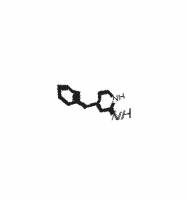 N=C1CC(Cc2ccccc2)CCN1